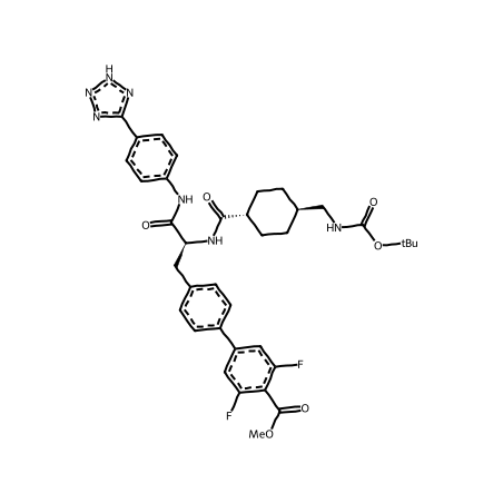 COC(=O)c1c(F)cc(-c2ccc(C[C@H](NC(=O)[C@H]3CC[C@H](CNC(=O)OC(C)(C)C)CC3)C(=O)Nc3ccc(-c4nn[nH]n4)cc3)cc2)cc1F